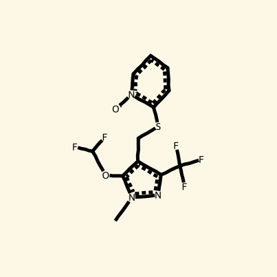 Cn1nc(C(F)(F)F)c(CSc2cccc[n+]2[O-])c1OC(F)F